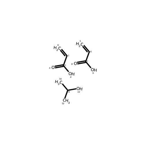 C=CC(=O)O.C=CC(=O)O.CC(C)O